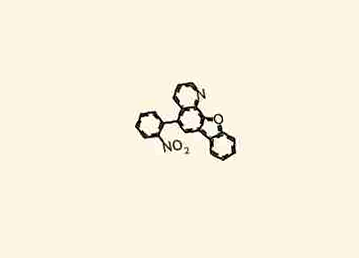 O=[N+]([O-])c1ccccc1-c1cc2c3ccccc3oc2c2ncccc12